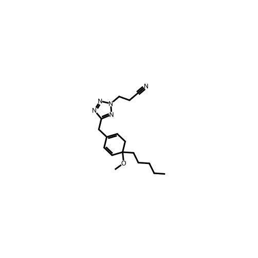 CCCCCC1(OC)C=CC(Cc2nnn(CCC#N)n2)=CC1